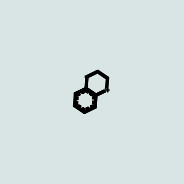 [C]1CC[N]c2ccccc21